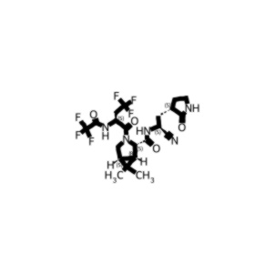 CC1(C)[C@@H]2[C@@H](C(=O)N[C@H](C#N)C[C@@H]3CCNC3=O)N(C(=O)[C@H](CC(F)(F)F)NC(=O)C(F)(F)F)C[C@@H]21